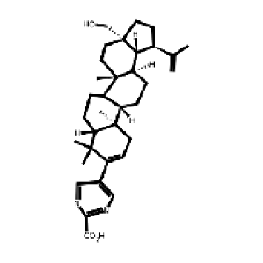 C=C(C)[C@@H]1CC[C@]2(CO)CC[C@@]3(C)C4CC[C@H]5C(C)(C)C(c6cnc(C(=O)O)nc6)=CC[C@]5(C)[C@H]4CC[C@@H]3[C@@H]12